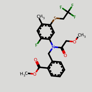 COCC(=O)N(Cc1ccccc1C(=O)OC)c1cc(SCC(F)(F)F)c(C)cc1F